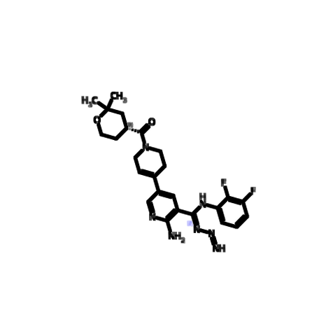 CC1(C)C[C@H](C(=O)N2CC=C(c3cnc(N)c(/C(=N/N=N)Nc4cccc(F)c4F)c3)CC2)CCO1